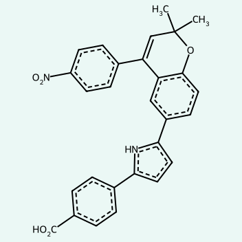 CC1(C)C=C(c2ccc([N+](=O)[O-])cc2)c2cc(-c3ccc(-c4ccc(C(=O)O)cc4)[nH]3)ccc2O1